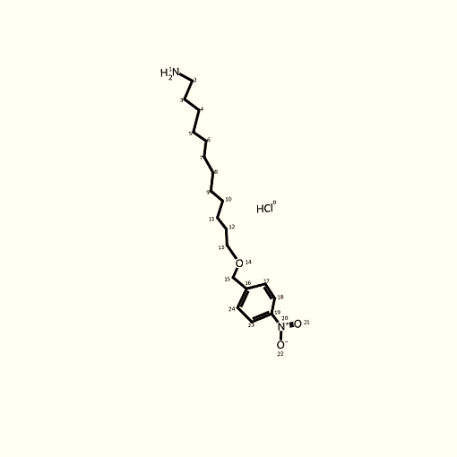 Cl.NCCCCCCCCCCCCOCc1ccc([N+](=O)[O-])cc1